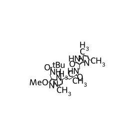 COc1nn2c(C)cc(CCC(C)(C)C(=O)NCc3c(=O)[nH]n4c(C)cc(C)nc34)nc2c1CNC(=O)C(C)(C)C